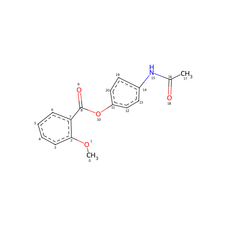 COc1ccccc1C(=O)Oc1ccc(NC(C)=O)cc1